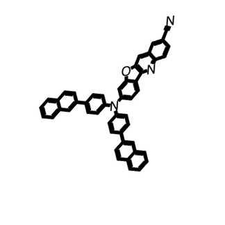 N#Cc1ccc2nc3c(cc2c1)oc1cc(N(c2ccc(-c4ccc5ccccc5c4)cc2)c2ccc(-c4ccc5ccccc5c4)cc2)ccc13